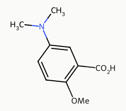 COc1ccc(N(C)C)cc1C(=O)O